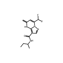 C=C1C=C(C(F)F)n2ncc(C(=O)NC(C)CC)c2N1